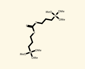 CO[Si](CCCSC(=S)SCCC[Si](OC)(OC)OC)(OC)OC